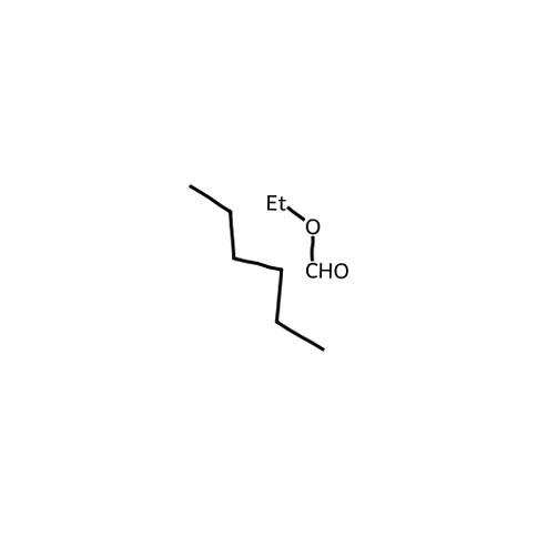 CCCCCC.CCOC=O